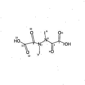 O=C(O)C(=O)N(I)N(I)C(=O)C(=O)O